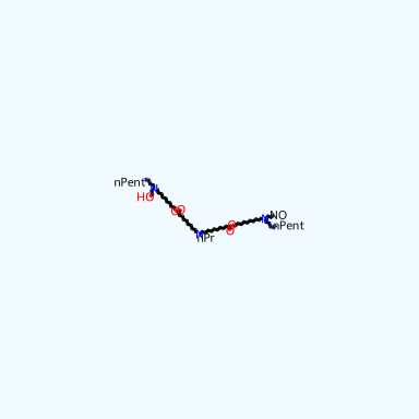 CCCCC/C=C\CCN(CCO)CCCCCCCCCOC(=O)CCCCCCCCCN(CCC)CCCCCCCCCC(=O)OCCCCCCCCCCN(CC/C=C\CCCCC)CCN=O